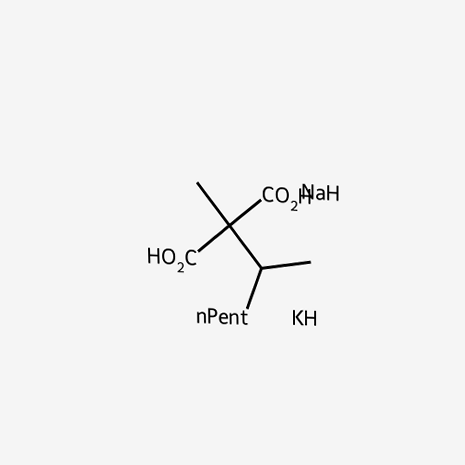 CCCCCC(C)C(C)(C(=O)O)C(=O)O.[KH].[NaH]